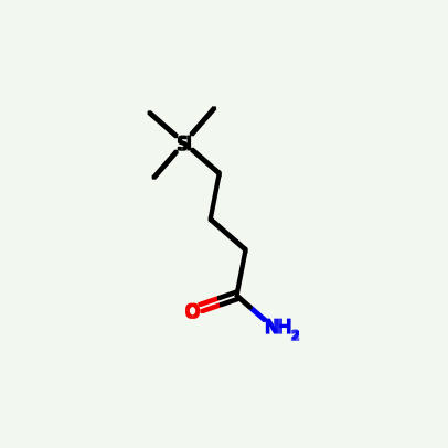 C[Si](C)(C)CCCC(N)=O